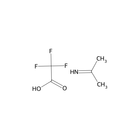 CC(C)=N.O=C(O)C(F)(F)F